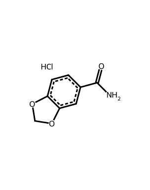 Cl.NC(=O)c1ccc2c(c1)OCO2